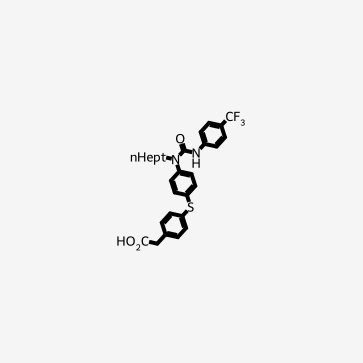 CCCCCCCN(C(=O)Nc1ccc(C(F)(F)F)cc1)c1ccc(Sc2ccc(CC(=O)O)cc2)cc1